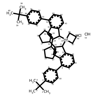 CC(C)(C)c1ccc(-c2cccc3c2C=C(C2CCCC2)[CH]3[Hf]2([CH]3C(C4CCCC4)=Cc4c(-c5ccc(C(C)(C)C)cc5)cccc43)[CH2]C[CH2]2)cc1.Cl.Cl